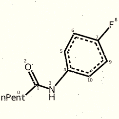 CCCCCC(=O)Nc1ccc(F)cc1